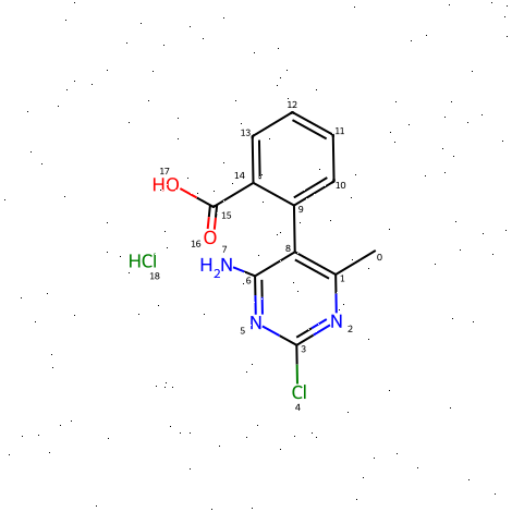 Cc1nc(Cl)nc(N)c1-c1ccccc1C(=O)O.Cl